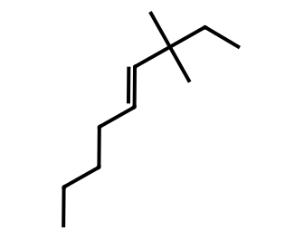 CCCCC=CC(C)(C)CC